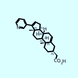 C[C@]12CC[C@H](CC(=O)O)CC1=CC[C@@H]1[C@@H]2CC[C@]2(C)C(c3cccnc3)=CC[C@@H]12